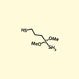 COS([SiH3])(CCCS)OC